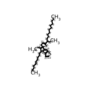 CCCCCCCCCCCC(CC)C1=CCC(c2cc3sccc3s2)(C(CC)CCCCCCCCCCC)S1